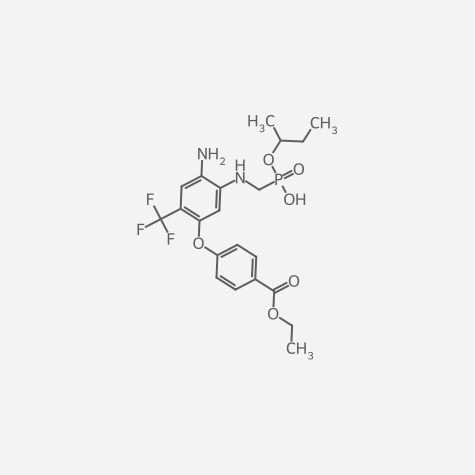 CCOC(=O)c1ccc(Oc2cc(NCP(=O)(O)OC(C)CC)c(N)cc2C(F)(F)F)cc1